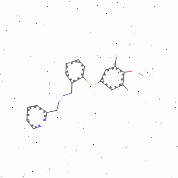 COc1c(C)cc(Pc2ccccc2CNCc2ccccn2)cc1C